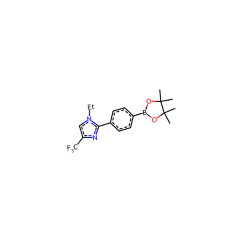 CCn1cc(C(F)(F)F)nc1-c1ccc(B2OC(C)(C)C(C)(C)O2)cc1